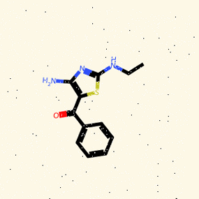 CCNc1nc(N)c(C(=O)c2ccccc2)s1